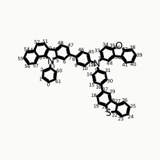 c1ccc(-n2c3cc(-c4ccc(N(c5ccc(-c6ccc7sc8ccccc8c7c6)cc5)c5ccc6oc7ccccc7c6c5)cc4)ccc3c3ccc4ccccc4c32)cc1